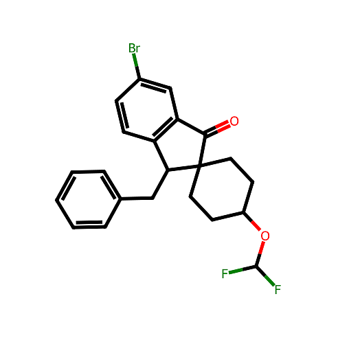 O=C1c2cc(Br)ccc2C(Cc2ccccc2)C12CCC(OC(F)F)CC2